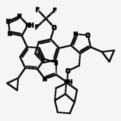 FC(F)(F)Oc1ccccc1-c1noc(C2CC2)c1COC1CC2CCC(C1)C2Nc1nc2c(C3CC3)cc(-c3nnn[nH]3)cc2s1